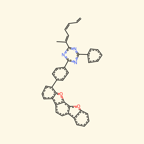 C=C/C=C\C=C(/C)c1nc(-c2ccccc2)nc(-c2ccc(-c3cccc4c3oc3c4ccc4c5ccccc5oc43)cc2)n1